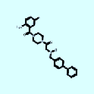 O=C(CN(Cl)Cc1ccc(-c2ccccc2)cc1)N1CCN(C(=O)c2cc(F)ccc2C(F)(F)F)CC1